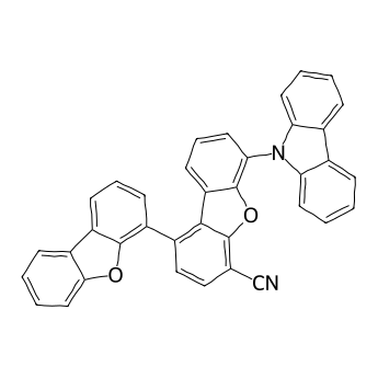 N#Cc1ccc(-c2cccc3c2oc2ccccc23)c2c1oc1c(-n3c4ccccc4c4ccccc43)cccc12